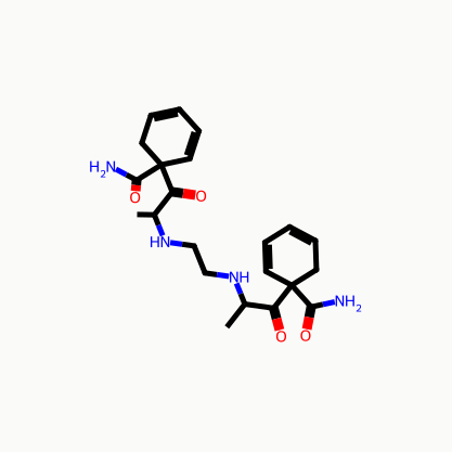 CC(NCCNC(C)C(=O)C1(C(N)=O)C=CC=CC1)C(=O)C1(C(N)=O)C=CC=CC1